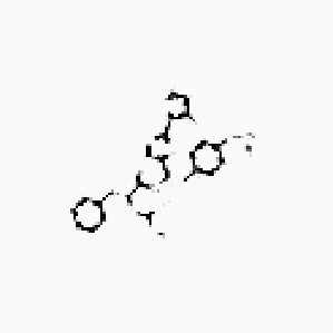 COC(=O)N[C@@H](Cc1ccccc1)C(=O)N[C@@H](Cc1ccc(N[SH](=O)=O)cc1)c1csc(-c2sccc2C)n1